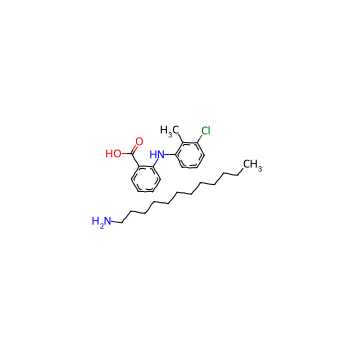 CCCCCCCCCCCCN.Cc1c(Cl)cccc1Nc1ccccc1C(=O)O